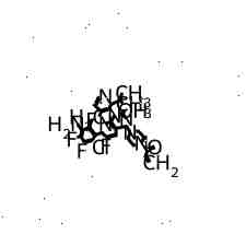 C=CC(=O)N1CCN(C2=NC(O)N(c3c(C)ccnc3C(C)C)c3nc(-c4c(F)c(N)c(F)c(F)c4Cl)c(F)cc32)CC1